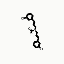 O=C(N(C/C=C/c1cccc(Cl)c1)C/C=C/c1cccc(Cl)c1)C(F)(F)F